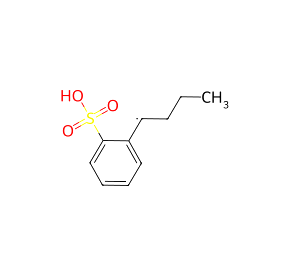 CCC[CH]c1ccccc1S(=O)(=O)O